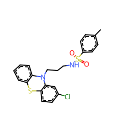 Cc1ccc(S(=O)(=O)NCCCN2c3ccccc3Sc3ccc(Cl)cc32)cc1